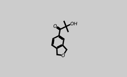 CC(C)(O)C(=O)c1ccc2c(c1)COC2